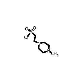 CN1CCN(CCS(=O)(=O)Cl)CC1